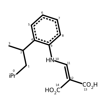 CC(C)CC(C)c1ccccc1NC=C(C(=O)O)C(=O)O